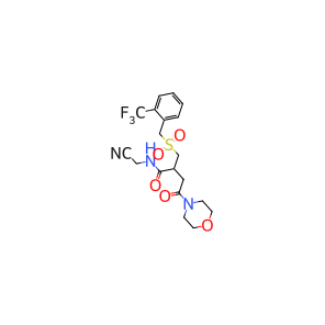 N#CCNC(=O)C(CC(=O)N1CCOCC1)CS(=O)(=O)Cc1ccccc1C(F)(F)F